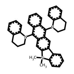 C[Si]1(C)c2ccccc2-c2cc3c(N4CCCc5ccccc54)c4ccccc4c(N4CCCc5ccccc54)c3cc21